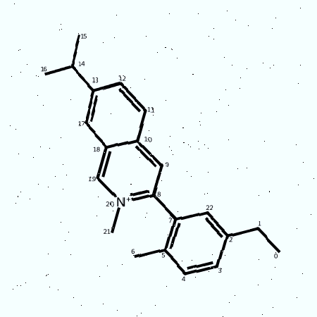 CCc1ccc(C)c(-c2cc3ccc(C(C)C)cc3c[n+]2C)c1